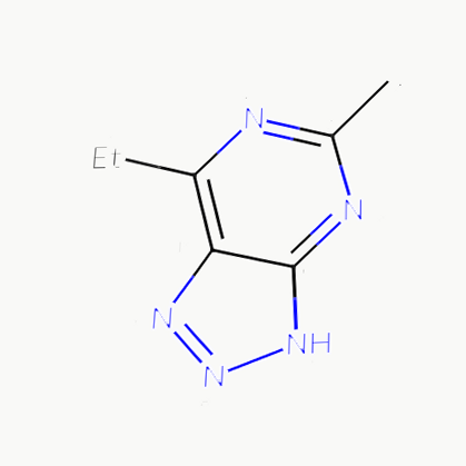 CCc1nc(C)nc2[nH]nnc12